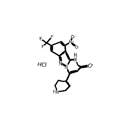 Cl.O=c1cc(C2CCNCC2)n2nc3cc(C(F)(F)F)cc([N+](=O)[O-])c3c2[nH]1